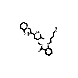 COCCCCOc1ccccc1C(=O)NC[C@@H](C[C@H](N)[C@@H](O)CN1CCCCC1=O)C(C)C